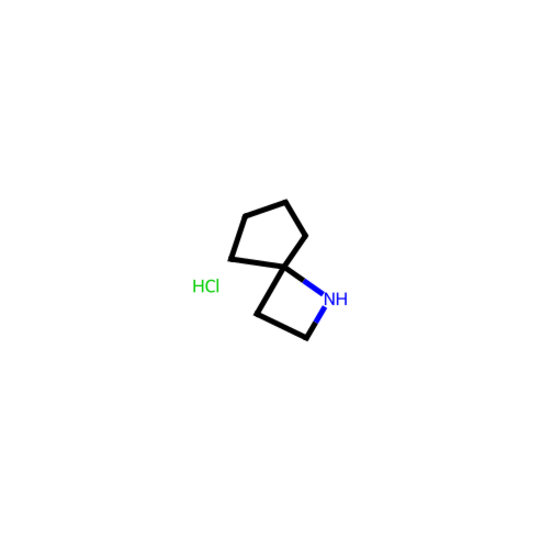 C1CCC2(C1)CCN2.Cl